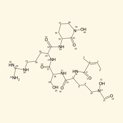 C/C=C(/C)C(=O)NC(CCCN(O)C=O)C(=O)NC(CO)C(=O)NC(CCCNC(=N)N)C(=O)NC1CCCN(O)C1=O